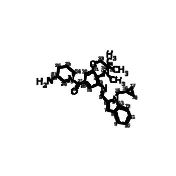 CN1c2c(/N=C/c3cc4ccccc4n3CC3CC3)cc(C(=O)N3CCCC(N)C3)cc2OCC1(C)C